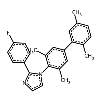 Cc1ccc(C)c(-c2cc(C)c(-n3ccnc3-c3ccc(F)cc3)c(C)c2)c1